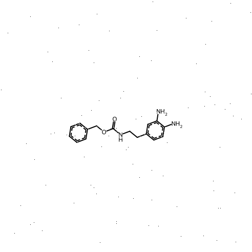 Nc1ccc(CCNC(=O)OCc2ccccc2)cc1N